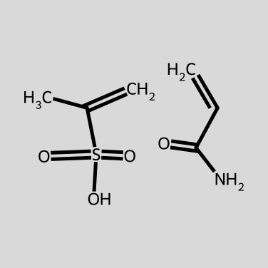 C=C(C)S(=O)(=O)O.C=CC(N)=O